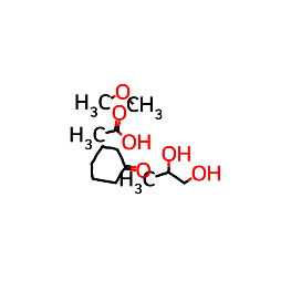 CC(=O)O.CC(O)CO.COC.O=C1CCCCC1